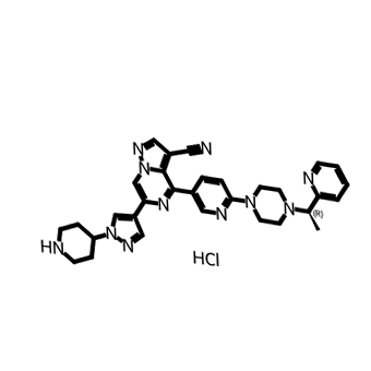 C[C@H](c1ccccn1)N1CCN(c2ccc(-c3nc(-c4cnn(C5CCNCC5)c4)cn4ncc(C#N)c34)cn2)CC1.Cl